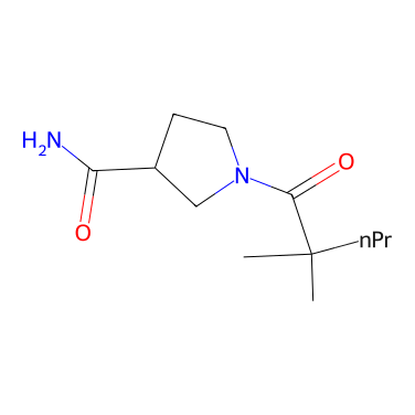 CCCC(C)(C)C(=O)N1CCC(C(N)=O)C1